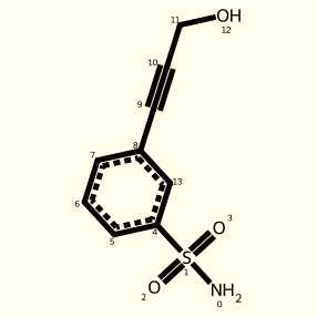 NS(=O)(=O)c1cccc(C#CCO)c1